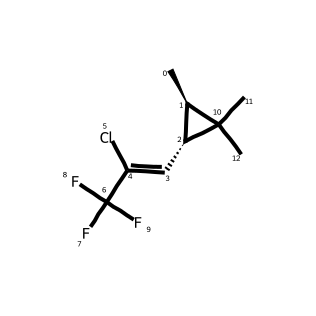 C[C@@H]1[C@@H](C=C(Cl)C(F)(F)F)C1(C)C